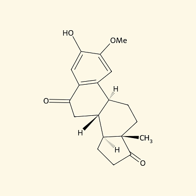 COc1cc2c(cc1O)C(=O)C[C@@H]1[C@@H]2CC[C@]2(C)C(=O)CC[C@@H]12